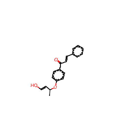 CC(C=CO)Oc1ccc(C(=O)C=Cc2ccccc2)cc1